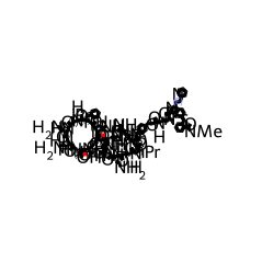 CNC(=O)c1ccccc1Sc1ccc2c(/C=C/c3ccccn3)nn(C(=O)N(C)CCNC(=O)OCc3ccc(NC(=O)C(CCCNC(N)=O)NC(=O)[C@H](NC(=O)CCC(=O)N[C@H](CCN)C(=O)N[C@@H](C(=O)N[C@H](CCN)C(=O)N[C@@H]4CCNC(=O)[C@@H]([C@H](C)O)NC(=O)[C@@H](CCN)NC(=O)[C@@H](CCN)NC(=O)[C@@H](CC(C)C)NC(=O)[C@H](Cc5ccccc5)NC(=O)[C@@H](CCN)NC4=O)[C@H](C)O)C(C)C)cc3)c2c1